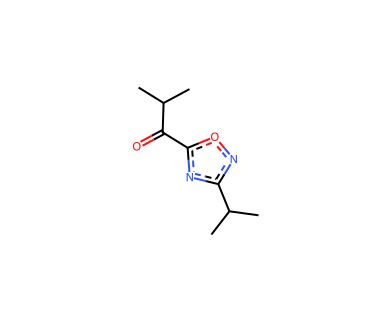 CC(C)C(=O)c1nc(C(C)C)no1